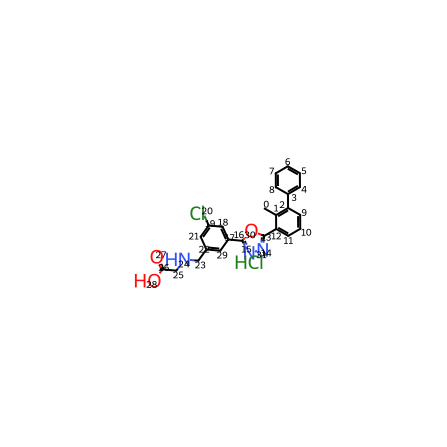 Cc1c(-c2ccccc2)cccc1-c1nnc(-c2cc(Cl)cc(CNCC(=O)O)c2)o1.Cl